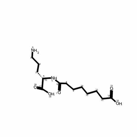 NCCC[C@H](NC(=O)CCCCCCC(=O)O)C(=O)O